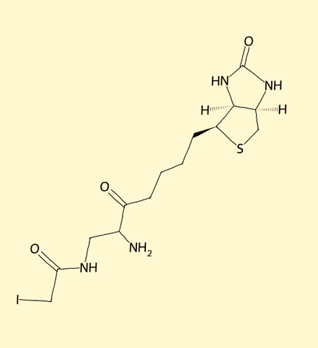 NC(CNC(=O)CI)C(=O)CCCC[C@@H]1SC[C@@H]2NC(=O)N[C@@H]21